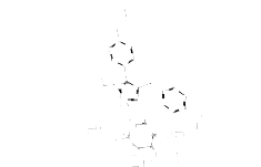 CCCc1ccc(-c2c(Cc3ccc(OC)cc3)c(O[C@@H]3O[C@H](CO)[C@@H](O)[C@H](O)[C@H]3O)nn2C(C)C)cc1